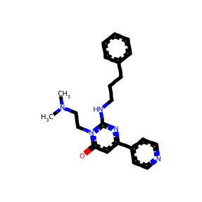 CN(C)CCn1c(NCCCc2ccccc2)nc(-c2ccncc2)cc1=O